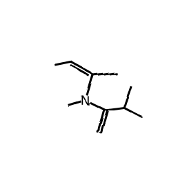 C=C(C(C)C)N(C)/C(C)=C\C